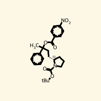 CC(C)(C)OC(=O)N1CCC[C@H]1CCC(C)(OC(=O)c1ccc([N+](=O)[O-])cc1)c1ccccc1